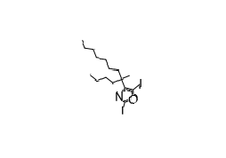 CCCCCCCC(C)(CCCC)c1nc(I)oc1I